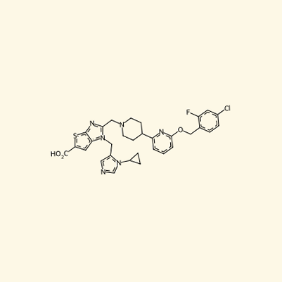 O=C(O)c1cc2c(nc(CN3CCC(c4cccc(OCc5ccc(Cl)cc5F)n4)CC3)n2Cc2cncn2C2CC2)s1